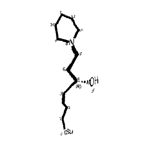 CC(C)(C)CCC[C@@H](O)CCN1CCCCC1